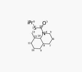 CC(C)SC(=O)N1CCCC2CCCC(C)C21